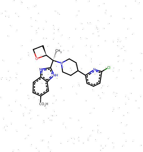 C[C@](c1nc2ccc(C(=O)O)cc2[nH]1)([C@@H]1CCO1)N1CCC(c2cccc(Cl)n2)CC1